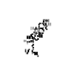 CC(C)CCC[C@@H](C)[C@]1(O)CC[C@H]2[C@@H]3CC=C4C(C)(C)[C@@H](O)CC[C@]4(C)[C@H]3CC[C@@]21C